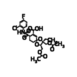 CC[C@]1(COC(C)=O)OC2(C=C(C(=O)O)C(S(=O)(=O)Nc3ccc(F)cc3Cl)CC2)O[C@@H]1COC(C)=O